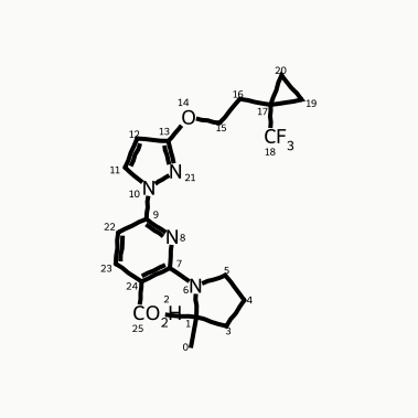 CC1(C)CCCN1c1nc(-n2ccc(OCCC3(C(F)(F)F)CC3)n2)ccc1C(=O)O